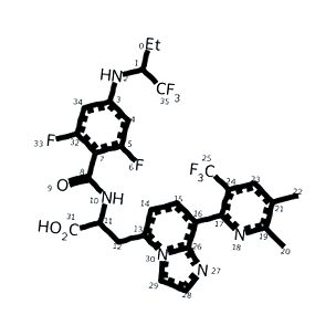 CCC(Nc1cc(F)c(C(=O)NC(Cc2ccc(-c3nc(C)c(C)cc3C(F)(F)F)c3nccn23)C(=O)O)c(F)c1)C(F)(F)F